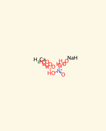 O.O.O.O.O.O=[N+]([O-])O.[CaH2].[NaH]